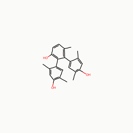 Cc1cc(-c2c(C)ccc(O)c2-c2cc(C)c(O)cc2C)c(C)cc1O